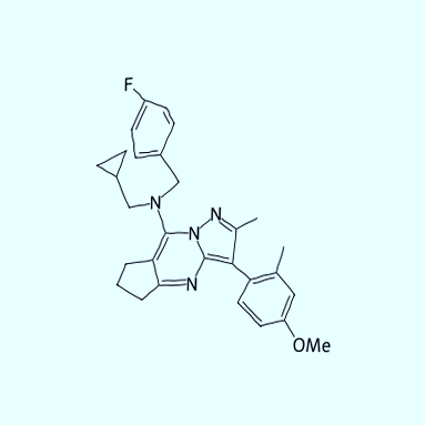 COc1ccc(-c2c(C)nn3c(N(Cc4ccc(F)cc4)CC4CC4)c4c(nc23)CCC4)c(C)c1